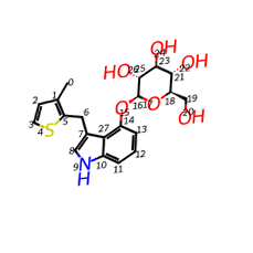 Cc1ccsc1Cc1c[nH]c2cccc(O[C@@H]3O[C@H](CO)[C@@H](O)[C@H](O)[C@H]3O)c12